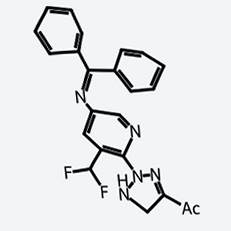 CC(=O)C1=NN(c2ncc(N=C(c3ccccc3)c3ccccc3)cc2C(F)F)NC1